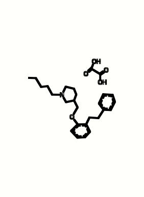 CCCCCN1CCCC(COc2ccccc2CCc2ccccc2)C1.O=C(O)C(=O)O